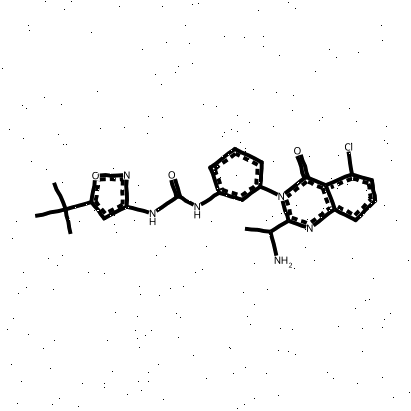 CC(N)c1nc2cccc(Cl)c2c(=O)n1-c1cccc(NC(=O)Nc2cc(C(C)(C)C)on2)c1